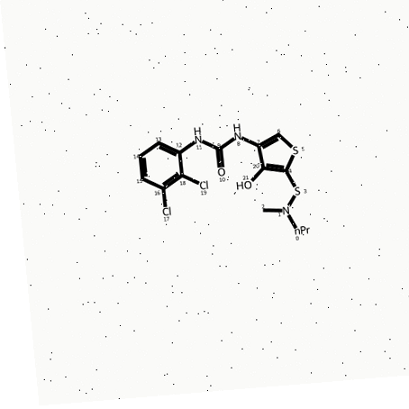 CCCN(C)Sc1scc(NC(=O)Nc2cccc(Cl)c2Cl)c1O